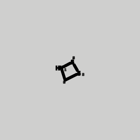 C1NSS1